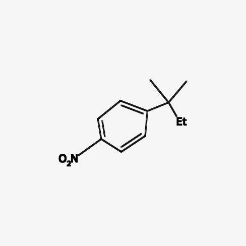 CCC(C)(C)c1ccc([N+](=O)[O-])cc1